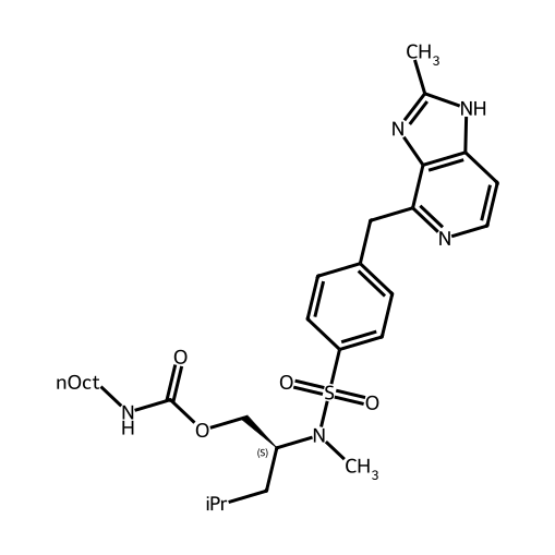 CCCCCCCCNC(=O)OC[C@H](CC(C)C)N(C)S(=O)(=O)c1ccc(Cc2nccc3[nH]c(C)nc23)cc1